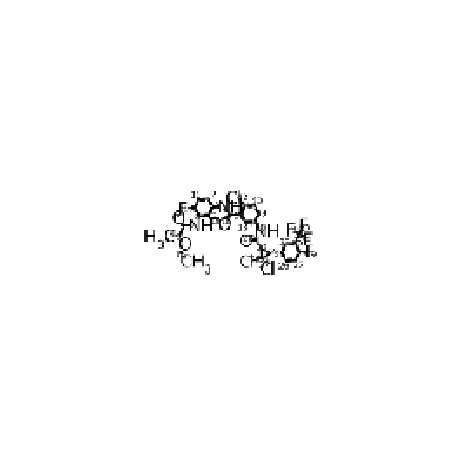 CCO[C@@H](C)C(=O)Nc1c(F)ccc(NC(=O)c2cc(NC(=O)[C@H]3[C@H](c4ccc(F)c(C(F)(F)F)c4)C3(Cl)Cl)ccc2Cl)c1F